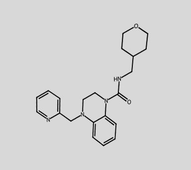 O=C(NCC1CCOCC1)N1CCN(Cc2ccccn2)c2ccccc21